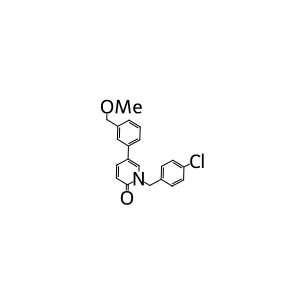 COCc1cccc(-c2ccc(=O)n(Cc3ccc(Cl)cc3)c2)c1